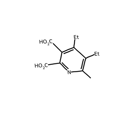 CCc1c(C)nc(C(=O)O)c(C(=O)O)c1CC